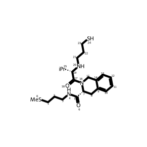 CSCCCNC(=O)[C@H]1Cc2ccccc2CN1C(=O)[C@@H](NCCCS)C(C)C